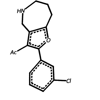 CC(=O)c1c(-c2cccc(Cl)c2)oc2c1CNCCC2